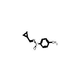 Cc1ccc([S+]([O-])N=CC2CC2)cc1